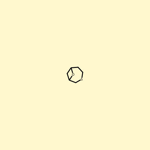 C1CC2CC(CS1)O2